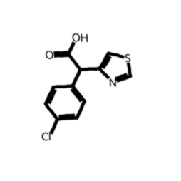 O=C(O)C(c1ccc(Cl)cc1)c1cscn1